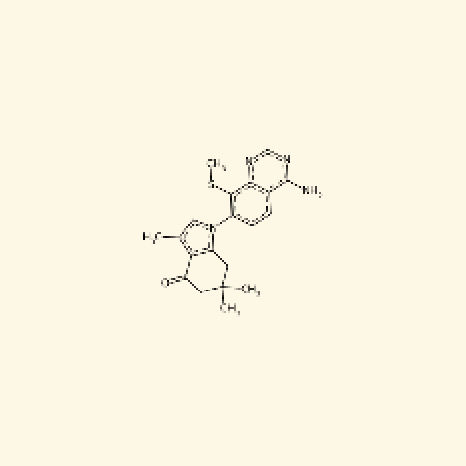 CSc1c(-n2cc(C)c3c2CC(C)(C)CC3=O)ccc2c(N)ncnc12